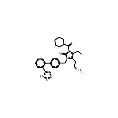 CCCc1c(CF)n(C(=O)C2CCCCC2)c(=O)n1Cc1ccc(-c2ccccc2-c2nnn[nH]2)cc1